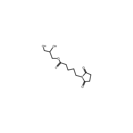 O=C(CCCCN1C(=O)CCC1=O)OCC(O)CO